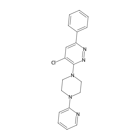 Clc1cc(-c2ccccc2)nnc1N1CCN(c2ccccn2)CC1